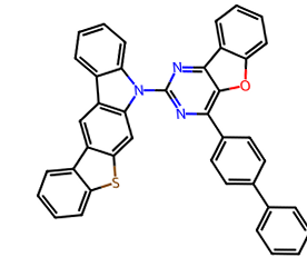 c1ccc(-c2ccc(-c3nc(-n4c5ccccc5c5cc6c(cc54)sc4ccccc46)nc4c3oc3ccccc34)cc2)cc1